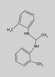 Cc1ccccc1NC(C)Nc1ccccc1C